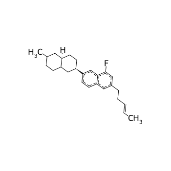 C/C=C/CCc1cc(F)c2cc([C@@H]3CC[C@@H]4CC(C)CCC4C3)ccc2c1